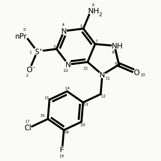 CCC[S+]([O-])c1nc(N)c2[nH]c(=O)n(Cc3ccc(Cl)c(F)c3)c2n1